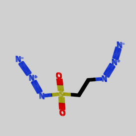 [N-]=[N+]=NCCS(=O)(=O)N=[N+]=[N-]